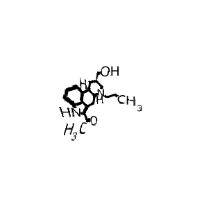 CCCN1C[C@H](CO)C[C@@H]2c3cccc4[nH]c(C(C)=O)c(c34)C[C@H]21